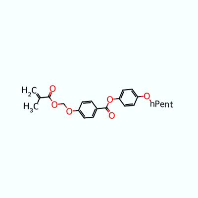 C=C(C)C(=O)OCOc1ccc(C(=O)Oc2ccc(OCCCCC)cc2)cc1